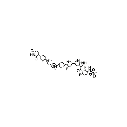 CCN(C)S(=O)(=O)Nc1ccc(F)c(C(=O)c2c[nH]c3ncc(-c4cnc(N5CCN(C(=O)CC6(O)CCN(c7ccc(C8CCC(=O)NC8=O)cc7F)CC6)CC5)c(F)c4)cc23)c1F